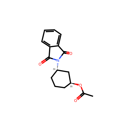 CC(=O)O[C@H]1CCC[C@H](N2C(=O)c3ccccc3C2=O)C1